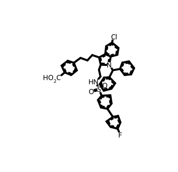 O=C(O)c1ccc(CCCc2c(CCNS(=O)(=O)c3ccc(-c4ccc(F)cc4)cc3)n(C(c3ccccc3)c3ccccc3)c3ccc(Cl)cc23)cc1